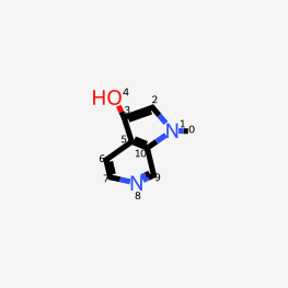 Cn1cc(O)c2ccncc21